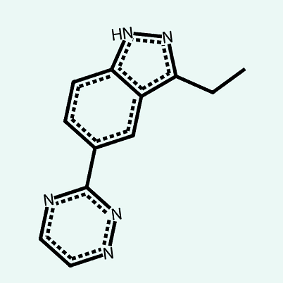 CCc1n[nH]c2ccc(-c3nccnn3)cc12